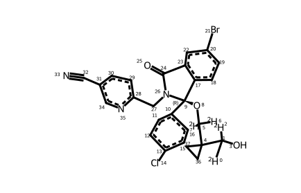 [2H]C([2H])(O)C1(C([2H])([2H])O[C@]2(c3ccc(Cl)cc3)c3ccc(Br)cc3C(=O)N2Cc2ccc(C#N)cn2)CC1